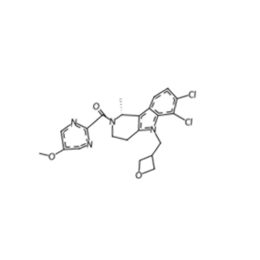 COc1cnc(C(=O)N2CCc3c(c4ccc(Cl)c(Cl)c4n3CC3COC3)[C@H]2C)nc1